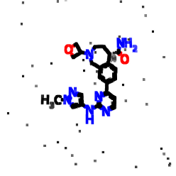 Cn1cc(Nc2nccc(-c3ccc4c(c3)CN(C3COC3)CC[C@@H]4C(N)=O)n2)cn1